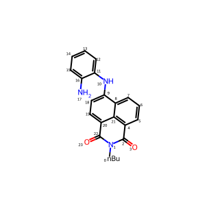 CCCCN1C(=O)c2cccc3c(Nc4ccccc4N)ccc(c23)C1=O